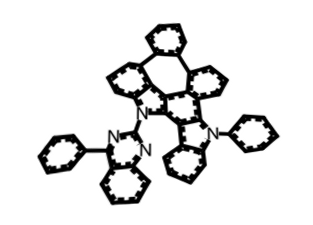 c1ccc(-c2nc(-n3c4cccc5c4c4c6c(cccc6c6c(c7ccccc7n6-c6ccccc6)c43)-c3ccccc3-5)nc3ccccc23)cc1